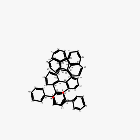 c1ccc(-c2ccccc2-c2cccc(-n3c4ccccc4c4ccccc43)c2-c2c(-c3ccccc3-c3ccccc3)cccc2-n2c3ccccc3c3ccccc32)cc1